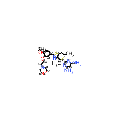 CCCc1sc(-c2ccc(OC)c(OCCN3CCOCC3)c2)nc1[C@H](C)Sc1nc(N)cc(N)n1